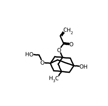 C=CC(=O)OC12CC3(C)CC(O)(CC(OCO)(C3)C1)C2